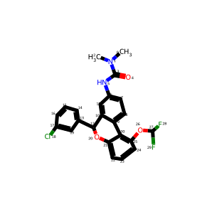 CN(C)C(=O)Nc1ccc2c(c1)C(c1cccc(Cl)c1)Oc1cccc(OC(F)F)c1-2